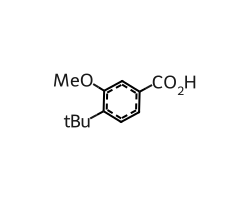 COc1cc(C(=O)O)ccc1C(C)(C)C